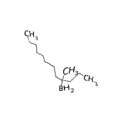 BC(C)(CCC)CCCCCCCC